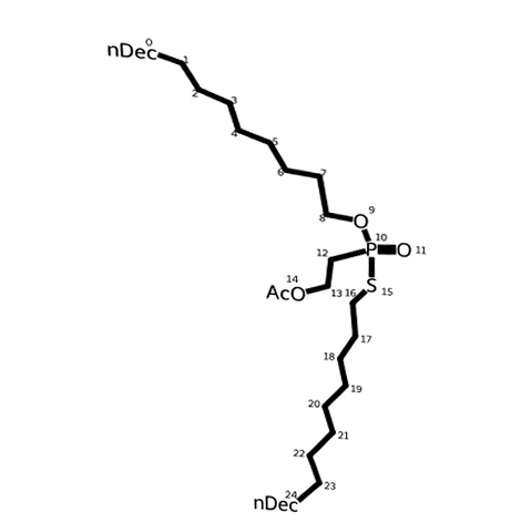 CCCCCCCCCCCCCCCCCCOP(=O)(CCOC(C)=O)SCCCCCCCCCCCCCCCCCC